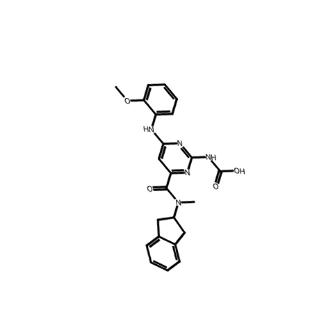 COc1ccccc1Nc1cc(C(=O)N(C)C2Cc3ccccc3C2)nc(NC(=O)O)n1